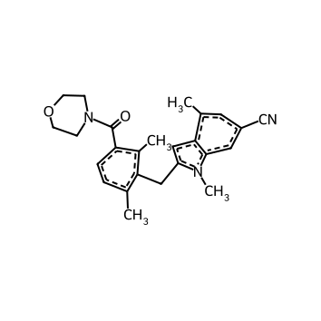 Cc1ccc(C(=O)N2CCOCC2)c(C)c1Cc1cc2c(C)cc(C#N)cc2n1C